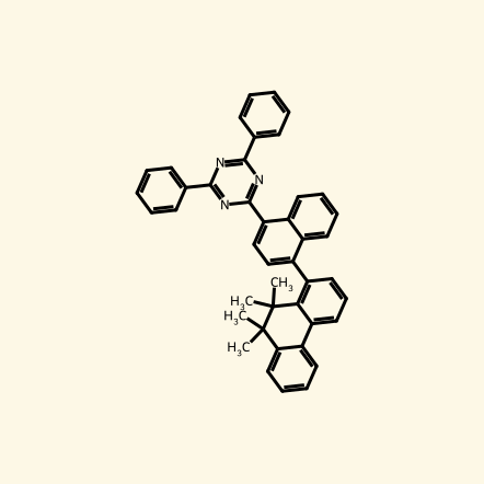 CC1(C)c2ccccc2-c2cccc(-c3ccc(-c4nc(-c5ccccc5)nc(-c5ccccc5)n4)c4ccccc34)c2C1(C)C